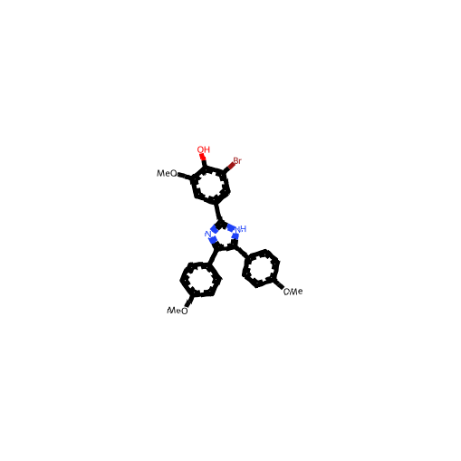 COc1ccc(-c2nc(-c3cc(Br)c(O)c(OC)c3)[nH]c2-c2ccc(OC)cc2)cc1